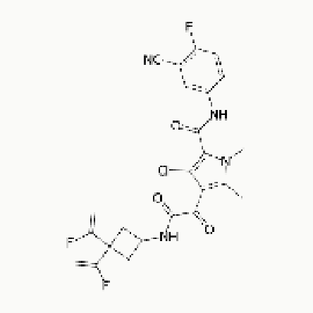 C=C(F)C1(C(=C)F)CC(NC(=O)C(=O)c2c(Cl)c(C(=O)Nc3ccc(F)c(C#N)c3)n(C)c2C)C1